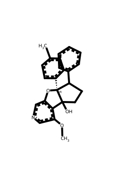 COc1cncc2c1C1(O)CCC(c3ccccc3)[C@]1(c1ccc(C)cc1)O2